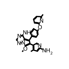 COc1c(-c2cnc(N)cc2C)c(-c2ccc(Oc3cccc(C)n3)cc2)c2c(N)ncnn12